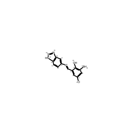 Bc1cc(Cl)cc(/C=N/c2ccc3[nH]nnc3c2)c1O